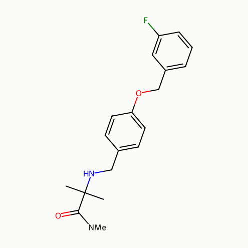 CNC(=O)C(C)(C)NCc1ccc(OCc2cccc(F)c2)cc1